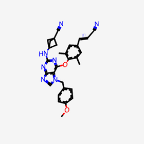 COc1ccc(Cn2cnc3nc(NC45CC(C#N)(C4)C5)nc(Oc4c(C)cc(/C=C/C#N)cc4C)c32)cc1